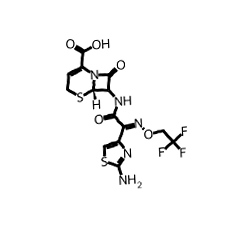 Nc1nc(C(=NOCC(F)(F)F)C(=O)NC2C(=O)N3C(C(=O)O)=CCS[C@@H]23)cs1